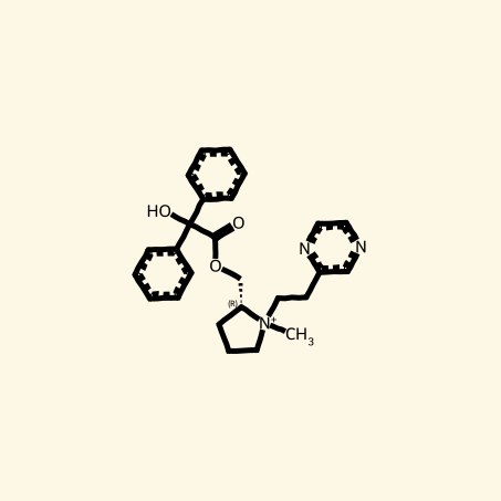 C[N+]1(CCc2cnccn2)CCC[C@@H]1COC(=O)C(O)(c1ccccc1)c1ccccc1